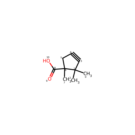 CC1(C)C#CCC1(C)C(=O)O